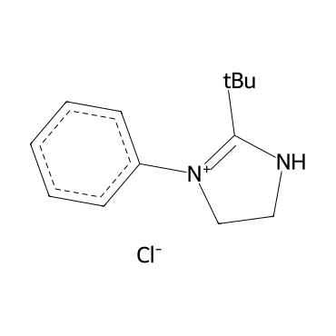 CC(C)(C)C1=[N+](c2ccccc2)CCN1.[Cl-]